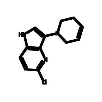 Clc1ccc2[nH]cc(N3CC=CCC3)c2n1